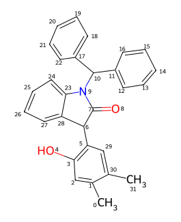 Cc1cc(O)c(C2C(=O)N(C(c3ccccc3)c3ccccc3)c3ccccc32)cc1C